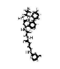 Cc1ccnc(NCCCC(=O)NCC(=O)NC(CC(=O)O)c2cccc(-c3ccc(F)cc3OC(=O)C(F)(F)F)c2)c1